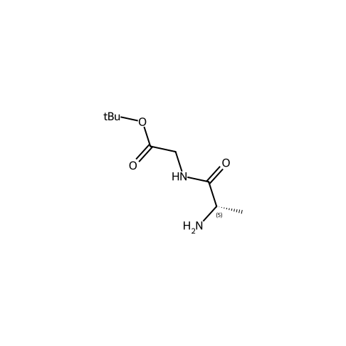 C[C@H](N)C(=O)NCC(=O)OC(C)(C)C